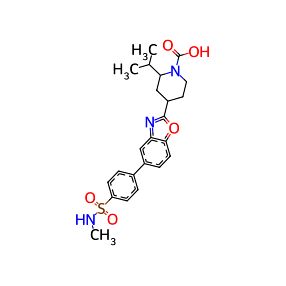 CNS(=O)(=O)c1ccc(-c2ccc3oc(C4CCN(C(=O)O)C(C(C)C)C4)nc3c2)cc1